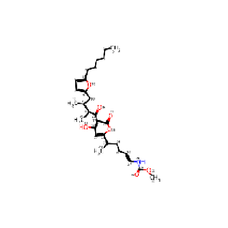 CCCCCCc1ccc(CC(C)C(C)C(=O)c2c(O)cc(C(C)CC/C=C/NC(=O)OC)oc2=O)o1